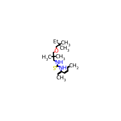 C=C/C=C\C(=C/C)NC(=S)NCC(C)(C)COCC(C)(C)CC